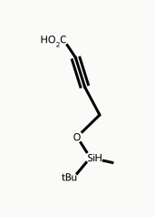 C[SiH](OCC#CC(=O)O)C(C)(C)C